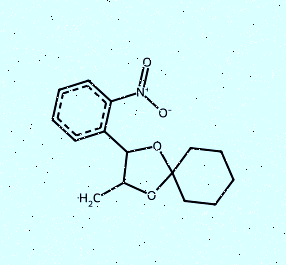 [CH2]C1OC2(CCCCC2)OC1c1ccccc1[N+](=O)[O-]